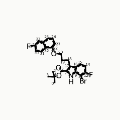 CC(C)(C)OC(=O)c1[nH]c2c(Br)c(F)ccc2c1CCCOc1cccc2cc(F)ccc12